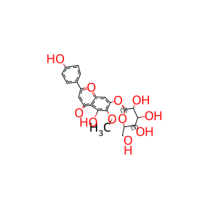 COc1c(O[C@@H]2OC(CO)[C@@H](O)C(O)C2O)cc2oc(-c3ccc(O)cc3)cc(=O)c2c1O